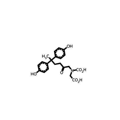 CC(CCC(=O)CN(CC(=O)O)C(=O)O)(c1ccc(O)cc1)c1ccc(O)cc1